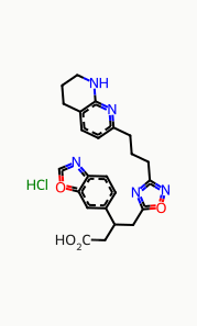 Cl.O=C(O)CC(Cc1nc(CCCc2ccc3c(n2)NCCC3)no1)c1ccc2ncoc2c1